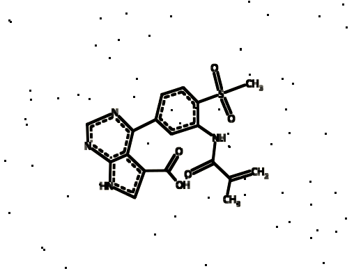 C=C(C)C(=O)Nc1cc(-c2ncnc3[nH]cc(C(=O)O)c23)ccc1S(C)(=O)=O